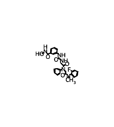 CN(C(=O)CN(C(=O)CNC(=O)Nc1cccc(C(=O)NO)c1)c1ccccc1)c1ccccc1F